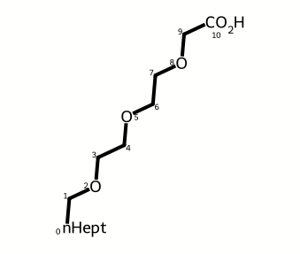 CCCCCCCCOCCOCCOCC(=O)O